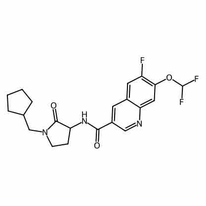 O=C(NC1CCN(CC2CCCC2)C1=O)c1cnc2cc(OC(F)F)c(F)cc2c1